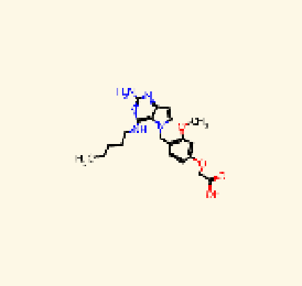 CCCCCNc1nc(N)nc2ccn(Cc3ccc(OCC(=O)O)cc3OC)c12